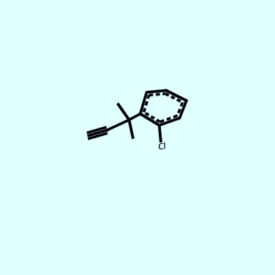 C#CC(C)(C)c1ccccc1Cl